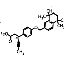 CC#C[C@@H](CC(=O)OC)c1ccc(OCc2ccc3c(c2)C(C)(C)CCC3(C)C)cc1